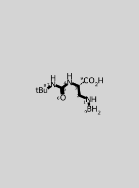 BNC[C@H](NC(=O)NC(C)(C)C)C(=O)O